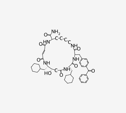 NC(=O)C1CCCCNC(=O)C(Cc2ccc(C(=O)c3ccccc3)cc2)NC(=O)[C@H](CC2CCCCC2)NC(=O)C[C@H](O)[C@H](CC2CCCCC2)NC(=O)/C=C/C(=O)N1